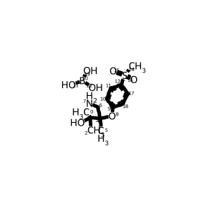 CC(C)(O)C(C)(CN)Oc1ccc(S(C)(=O)=O)cc1.OB(O)O